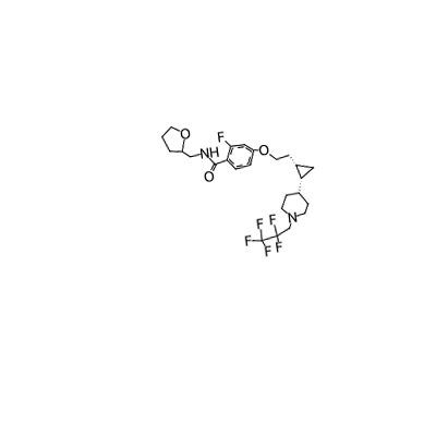 O=C(NCC1CCCO1)c1ccc(OCC[C@@H]2C[C@@H]2C2CCN(CC(F)(F)C(F)(F)F)CC2)cc1F